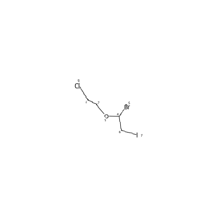 ClCCOC(Br)CI